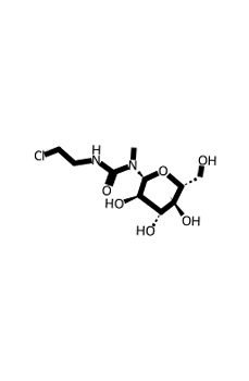 CN(C(=O)NCCCl)[C@@H]1O[C@H](CO)[C@@H](O)[C@H](O)[C@H]1O